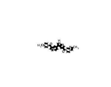 Cc1cn2c(n1)CN(C(=O)c1cnc3[nH]cc(-c4ccn5ncc(C(=O)N6CCN(C)CC6)c5c4)c3c1)CC2